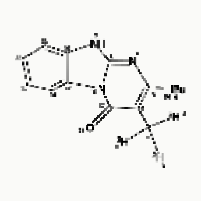 [2H]C([2H])([2H])c1c([C@@H](C)CC)nc2[nH]c3ccccc3n2c1=O